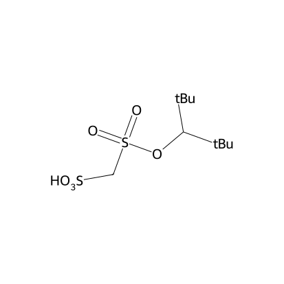 CC(C)(C)C(OS(=O)(=O)CS(=O)(=O)O)C(C)(C)C